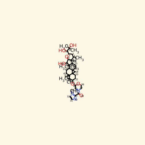 C[C@@H]1CC([C@H](O)C(C)(C)O)OC2[C@H]1C1(C)CCC34CC35CCC(O[C@H]3CN(C(=O)c6nccn6C)CCO3)C(C)(C)[C@@H]5CCC4[C@]1(C)[C@H]2O